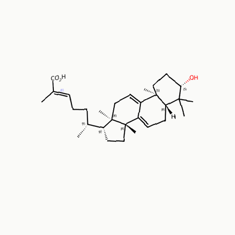 C/C(=C\CC[C@@H](C)[C@H]1CC[C@@]2(C)C3=CC[C@H]4C(C)(C)[C@@H](O)CC[C@]4(C)C3=CC[C@]12C)C(=O)O